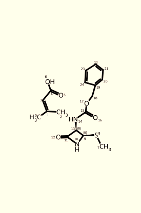 CC(C)=CC(=O)O.CS[C@H]1NC(=O)[C@H]1NC(=O)OCc1ccccc1